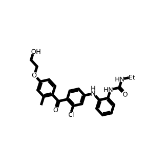 CCNC(=O)Nc1ccccc1Nc1ccc(C(=O)c2ccc(OCCO)cc2C)c(Cl)c1